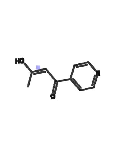 C/C(O)=C\C(=O)c1ccncc1